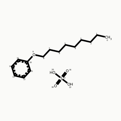 CCCCCCCCCOc1ccccc1.O=S(=O)(O)O